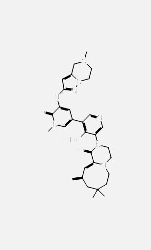 C=C1/C=C2/C(=O)N(c3cncc(-c4cc(Nc5cc6n(n5)CCN(C)C6)c(=O)n(C)c4)c3C=O)CCN2CCC(C)(C)C1